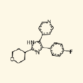 Fc1ccc(-c2nc(C3CCOCC3)[nH]c2-c2ccncc2)cc1